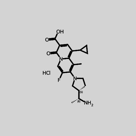 Cc1c(N2CC[C@H]([C@@H](C)N)C2)c(F)cn2c(=O)c(C(=O)O)cc(C3CC3)c12.Cl